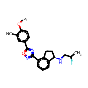 CC(F)CN[C@@H]1CCc2c(-c3noc(-c4ccc(OC(C)C)c(C#N)c4)n3)cccc21